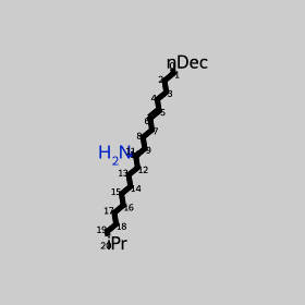 CCCCCCCCCCCCCC/C=C/CCCC(N)CCCCCCCCC(C)C